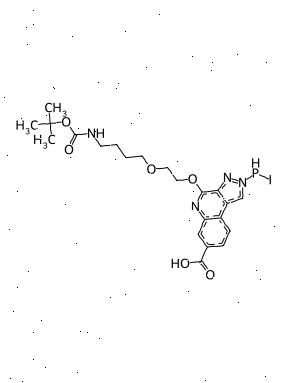 CC(C)(C)OC(=O)NCCCCOCCOc1nc2cc(C(=O)O)ccc2c2cn(PI)nc12